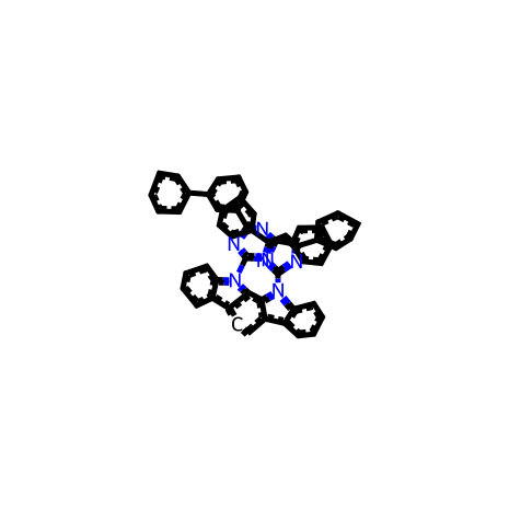 c1ccc(-c2cccc(-c3nc(-c4ccccc4)nc(-n4c5ccccc5c5ccc6c7ccccc7n(-c7nc(-c8ccccc8)cc(-c8ccccc8)n7)c6c54)n3)c2)cc1